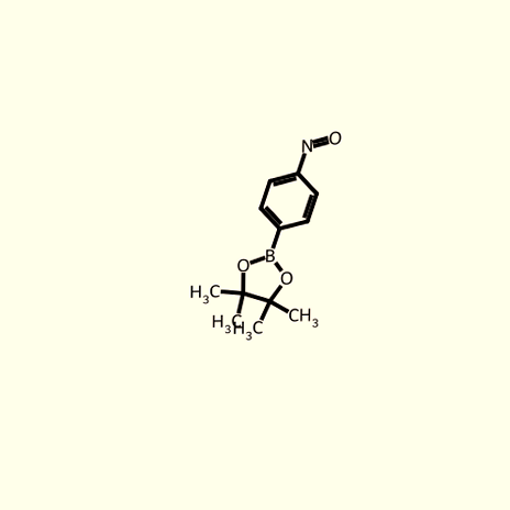 CC1(C)OB(c2ccc(N=O)cc2)OC1(C)C